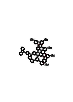 CC(C)(C)c1cc(-c2ccccc2)c(N2c3cc(-n4c5ccc(C(C)(C)C)cc5c5cc(C(C)(C)C)ccc54)ccc3B3c4ccc(-n5c6ccccc6c6cc(-n7c8ccccc8c8ccccc87)ccc65)cc4N(c4cc(-c5ccccc5)cc(-c5ccccc5)c4)c4cc(-n5c6ccc(C(C)(C)C)cc6c6cc(C(C)(C)C)ccc65)cc2c43)c(-c2ccccc2)c1